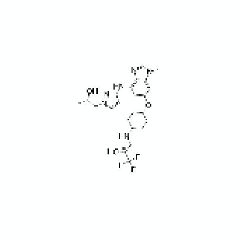 Cc1cc(Nc2cc(O[C@H]3CC[C@@H](NC[C@@H](O)C(F)(F)F)CC3)cc3c2ncn3C)nn1CC(C)O